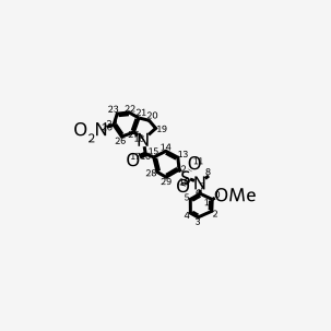 COc1ccccc1N(C)S(=O)(=O)c1ccc(C(=O)N2CCc3ccc([N+](=O)[O-])cc32)cc1